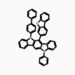 c1ccc(-c2ccc(-n3c4ccccc4c4cc5c(c(-c6ccc7c(c6)oc6ccccc67)c43)c3ccccc3n5-c3ccccc3)cc2)cc1